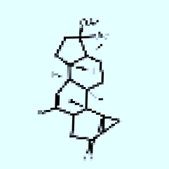 CC(=O)O[C@]1(C(C)=O)CC[C@H]2[C@@H]3C=C(F)C4CC(=O)C5=C(C5)[C@@]4(C)[C@@H]3CC[C@@]21C